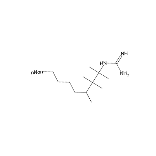 CCCCCCCCCCCCCC(C)C(C)(C)C(C)(C)NC(=N)N